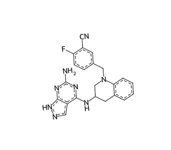 N#Cc1cc(CN2CC(Nc3nc(N)nc4[nH]ncc34)Cc3ccccc32)ccc1F